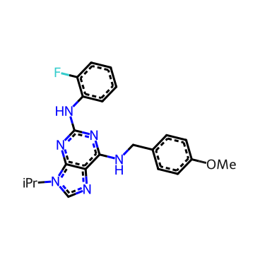 COc1ccc(CNc2nc(Nc3ccccc3F)nc3c2ncn3C(C)C)cc1